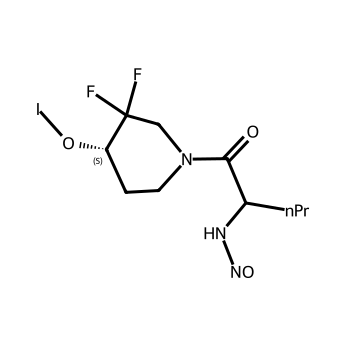 CCCC(NN=O)C(=O)N1CC[C@H](OI)C(F)(F)C1